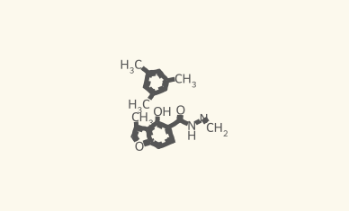 C=NNC(=O)c1ccc2occ(C)c2c1O.Cc1cc(C)cc(C)c1